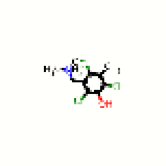 Cc1c(Cl)c(O)c(Cl)c(CN(C)C)c1Cl